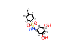 Cc1ccc(S(=O)(=O)Nc2cc(O)cc(O)c2)cc1